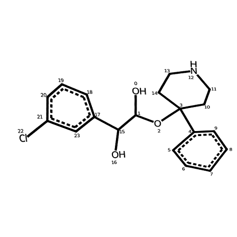 OC(OC1(c2ccccc2)CCNCC1)C(O)c1cccc(Cl)c1